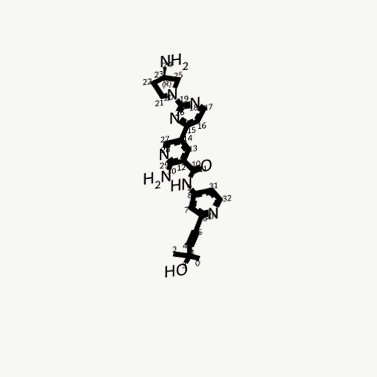 CC(C)(O)C#Cc1cc(NC(=O)c2cc(-c3ccnc(N4CC[C@@H](N)C4)n3)cnc2N)ccn1